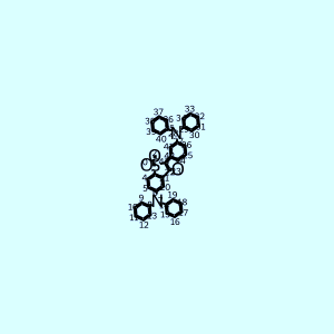 O=S1(=O)c2ccc(N(c3ccccc3)c3ccccc3)cc2-c2oc3ccc(N(c4ccccc4)c4ccccc4)cc3c21